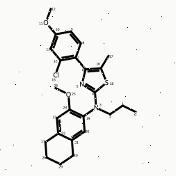 CCCN(c1nc(-c2ccc(OC)cc2Cl)c(C)s1)c1cc2c(cc1OC)CCCC2